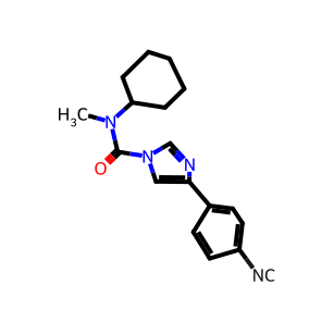 [C-]#[N+]c1ccc(-c2cn(C(=O)N(C)C3CCCCC3)cn2)cc1